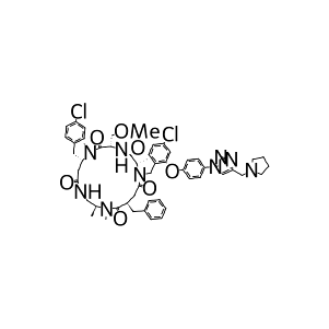 COC[C@@H]1NC(=O)[C@H](C)N(Cc2ccc(Cl)cc2Oc2ccc(-n3cc(CN4CCCC4)nn3)cc2)C(=O)C[C@@H](Cc2ccccc2)C(=O)N(C)[C@@H](C)CNC(=O)C[C@H](Cc2ccc(Cl)cc2)N(C)C1=O